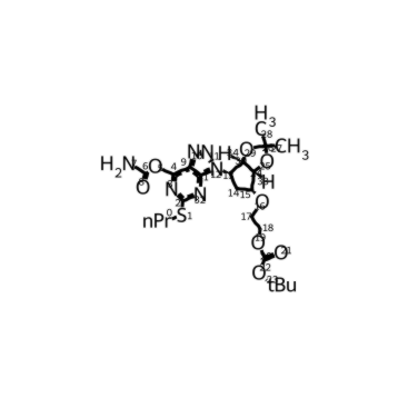 CCCSc1nc(OC(N)=O)c2nnn([C@@H]3C[C@H](OCCOC(=O)OC(C)(C)C)[C@H]4OC(C)(C)O[C@H]43)c2n1